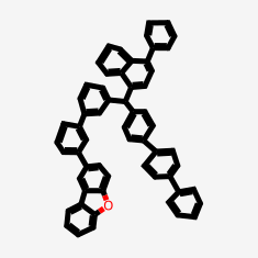 c1ccc(-c2ccc(-c3ccc(C(c4cccc(-c5cccc(-c6ccc7oc8ccccc8c7c6)c5)c4)c4ccc(-c5ccccc5)c5ccccc45)cc3)cc2)cc1